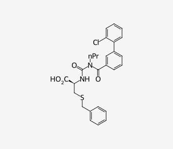 CCCN(C(=O)N[C@@H](CSCc1ccccc1)C(=O)O)C(=O)c1cccc(-c2ccccc2Cl)c1